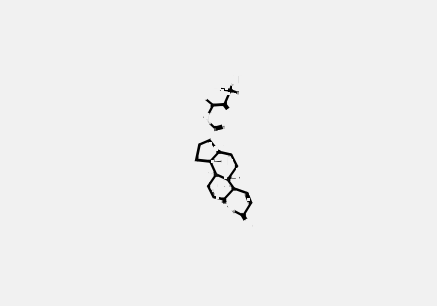 CC(NC(=O)[C@H]1CC[C@H]2[C@@H]3CC[C@H]4NC(=O)C=C[C@]4(C)[C@H]3CC[C@]12C)C(=O)C(F)(F)C(F)(F)F